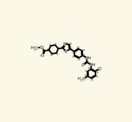 COC(=O)C1CCC(c2ncc(-c3ccc(NC(=O)Nc4cc(C)ccc4Cl)cc3)s2)CC1